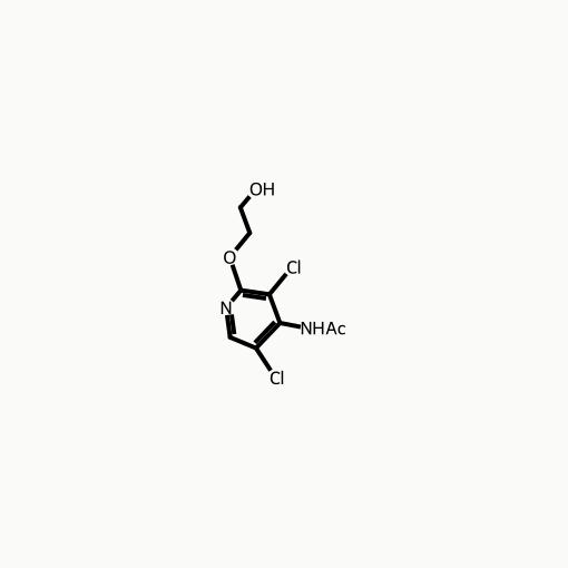 CC(=O)Nc1c(Cl)cnc(OCCO)c1Cl